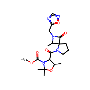 CC1N(Cc2ncno2)C(=O)C12CCCN2C(=O)C1[C@@H](C)OC(C)(C)N1C(=O)OC(C)(C)C